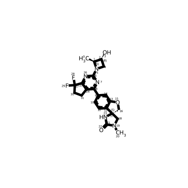 C[C@H]1[C@H](O)CN1c1nc(-c2ccc3c(c2)OC[C@@]32CN(C)C(=O)N2)c2c(n1)C(F)(F)CC2